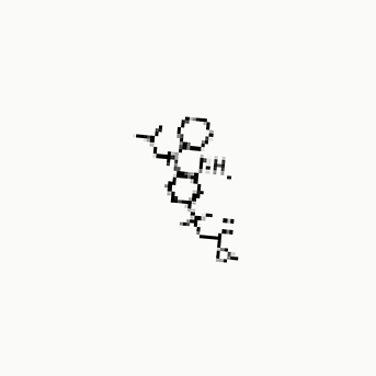 COC(=O)CC(C)(C)c1ccc(N(CC(C)C)C2CCCCC2)c(N)c1